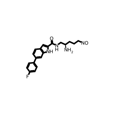 N[C@H](CCCN=O)CNC(=O)c1cc2ccc(-c3ccc(F)cc3)cc2[nH]1